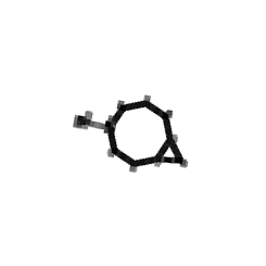 CC(C)N1CCCC2CC2CC1